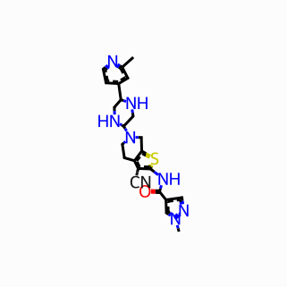 Cc1cc(C2CNC(N3CCc4c(sc(NC(=O)c5cnn(C)c5)c4C#N)C3)CN2)ccn1